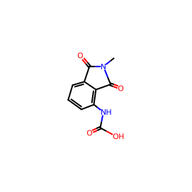 CN1C(=O)c2cccc(NC(=O)O)c2C1=O